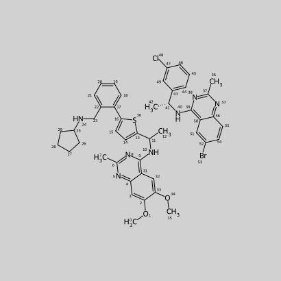 COc1cc2nc(C)nc(NC(C)c3ccc(-c4ccccc4CNC4CCCC4)s3)c2cc1OC.Cc1nc(N[C@H](C)c2cccc(Cl)c2)c2cc(Br)ccc2n1